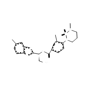 COC[C@H](NC(=O)c1ccc(N2CCCN(C)S2(=O)=O)c(C)c1)c1nc2cc(Cl)ccc2[nH]1